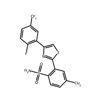 Cc1ccc(S(N)(=O)=O)c(-c2nc(-c3cc(C(F)(F)F)ccc3F)cs2)c1